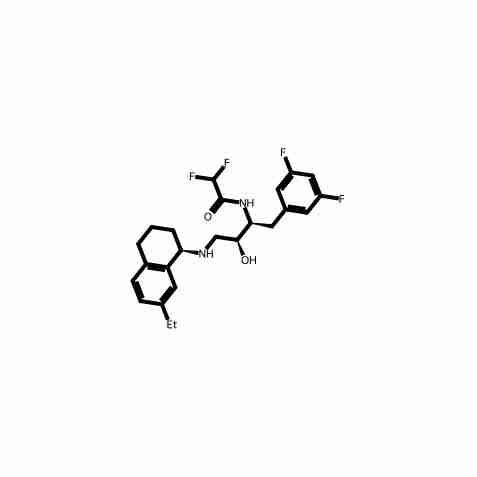 CCc1ccc2c(c1)[C@H](NC[C@H](O)[C@H](Cc1cc(F)cc(F)c1)NC(=O)C(F)F)CCC2